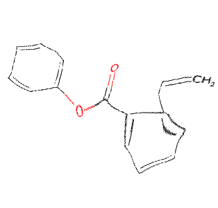 C=Cc1ccccc1C(=O)Oc1ccccc1